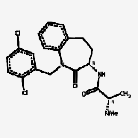 CN[C@@H](C)C(=O)N[C@H]1CCc2ccccc2N(Cc2cc(Cl)ccc2Cl)C1=O